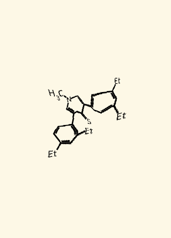 CCc1cc(CC)cc(-c2cn(C)cc(-c3ccc(CC)cc3CC)c2=S)c1